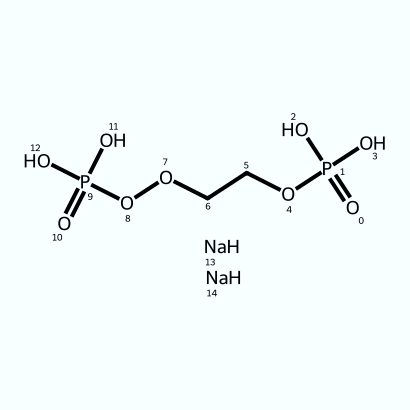 O=P(O)(O)OCCOOP(=O)(O)O.[NaH].[NaH]